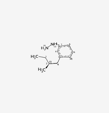 CC[C@H](C)Cc1ccccc1.NN